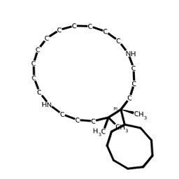 CC1(C)CCCNCCCCCCCCCCNCCC[C@]1(C)C1CCCCCCCC1